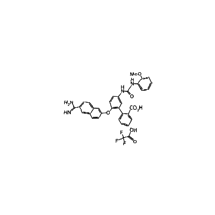 COc1ccccc1NC(=O)Nc1ccc(Oc2ccc3cc(C(=N)N)ccc3c2)c(-c2ccccc2C(=O)O)c1.O=C(O)C(F)(F)F